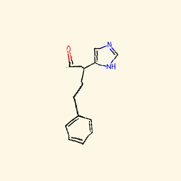 O=[C]C(CCc1ccccc1)c1cnc[nH]1